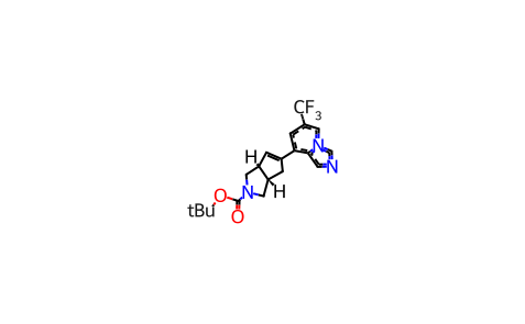 CC(C)(C)OC(=O)N1C[C@H]2CC(c3cc(C(F)(F)F)cn4cncc34)=C[C@H]2C1